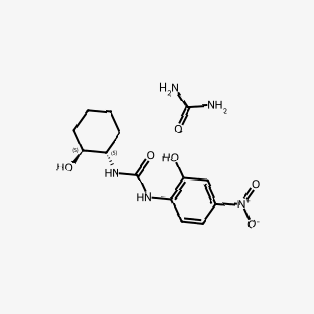 NC(N)=O.O=C(Nc1ccc([N+](=O)[O-])cc1O)N[C@H]1CCCC[C@@H]1O